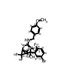 COC(=O)C12SC(NCc3ccc(OC)cc3)=NC(C)(c3cc(Br)ccc3F)C1C2(F)F